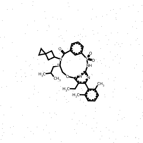 CCc1c2nc(nc1-c1c(C)cccc1C)NS(=O)(=O)c1cccc(c1)C(=O)N(C1CC3(CC3)C1)[C@H](CC(C)C)CO2